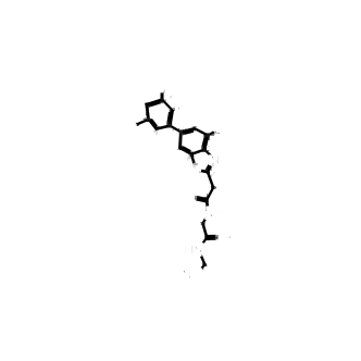 N#CCNC(=O)CNC(=O)Cc1nc2c(Cl)cc(-c3cc(F)cc(F)c3)cc2s1